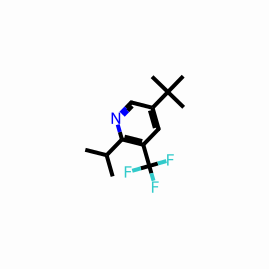 CC(C)c1ncc(C(C)(C)C)cc1C(F)(F)F